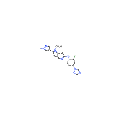 Cn1cc(-c2cc3cnc(Nc4ccc(-n5cncn5)cc4Cl)cc3n2C(=O)O)cn1